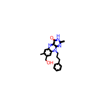 C=c1nc2c(c(=O)[nH]1)=Nc1cc(C)c(CO)cc1N2CCCc1ccccc1